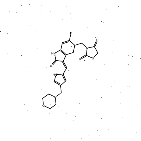 O=C1NC2=C(CC(CN3C(=O)CSC3=O)C(F)=C2)C1=Cc1cc(CN2CCOCC2)c[nH]1